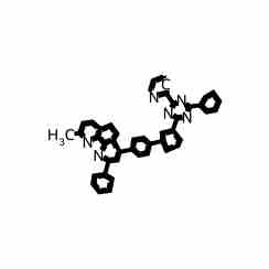 Cc1ccc2ccc3c(-c4ccc(-c5cccc(-c6nc(-c7ccccc7)nc(-c7ccccn7)n6)c5)cc4)cc(-c4ccccc4)nc3c2n1